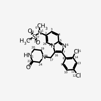 CN(c1ccc2nc(-c3ccc(Cl)cc3Cl)c(CN3CCNC(=O)C3)n2c1)S(C)(=O)=O